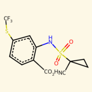 N#CC1(S(=O)(=O)Nc2cc(SC(F)(F)F)ccc2C(=O)O)CC1